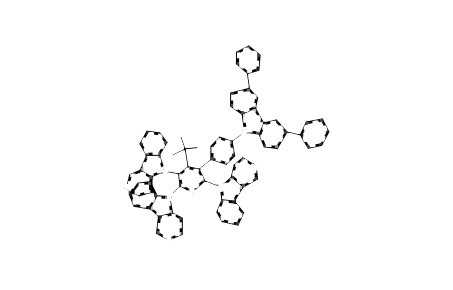 CC(C)(C)c1c(-c2ccc(-n3c4ccc(-c5ccccc5)cc4c4cc(-c5ccccc5)ccc43)cc2)c(-n2c3ccccc3c3cnccc32)nc(-n2c3ccccc3c3cnccc32)c1-n1c2ccccc2c2cnccc21